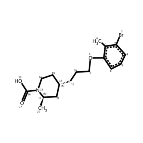 Cc1c(Br)cccc1OCCC[C@H]1CCN(C(=O)O)[C@H](C)C1